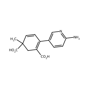 CC1(C(=O)O)C=CC(c2ccc(N)nc2)=C(C(=O)O)C1